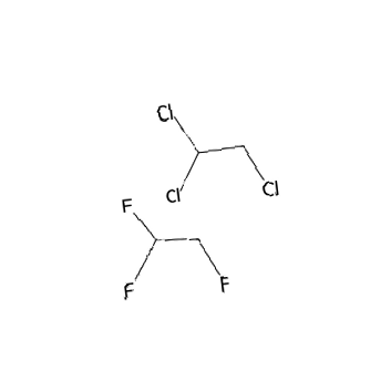 ClCC(Cl)Cl.FCC(F)F